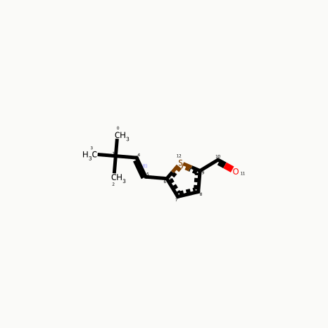 CC(C)(C)/C=C/c1ccc(C=O)s1